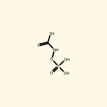 O=P(O)(O)ONC(=S)S